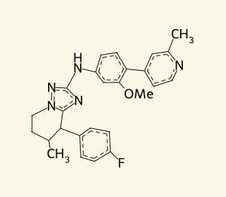 COc1cc(Nc2nc3n(n2)CCC(C)C3c2ccc(F)cc2)ccc1-c1ccnc(C)c1